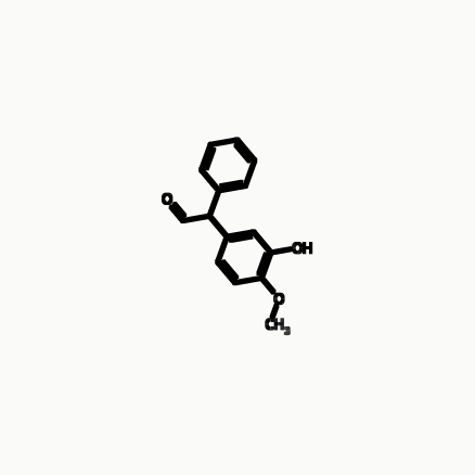 COc1ccc(C(C=O)c2ccccc2)cc1O